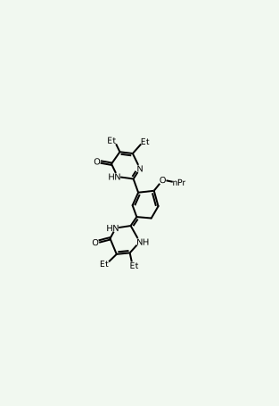 CCCOC1=CCC(=C2NC(=O)C(CC)=C(CC)N2)C=C1c1nc(CC)c(CC)c(=O)[nH]1